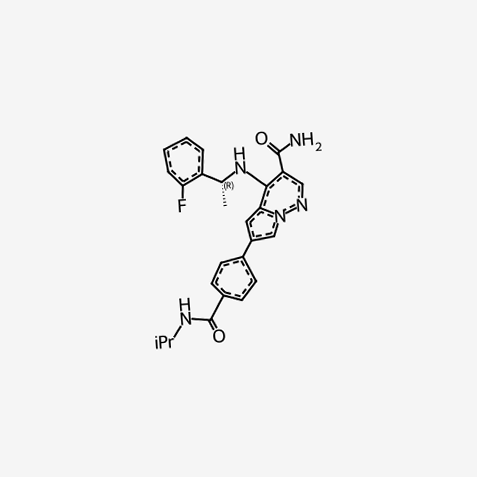 CC(C)NC(=O)c1ccc(-c2cc3c(N[C@H](C)c4ccccc4F)c(C(N)=O)cnn3c2)cc1